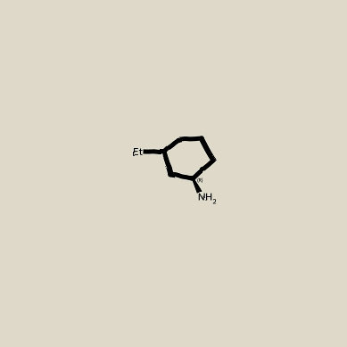 CCC1CCC[C@@H](N)C1